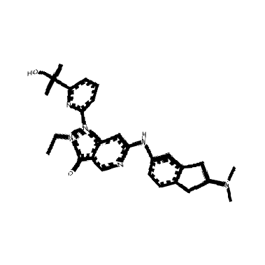 CCn1c(=O)c2cnc(Nc3ccc4c(c3)CC(N(C)C)C4)cc2n1-c1cccc(C(C)(C)O)n1